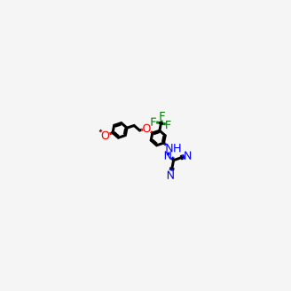 COc1ccc(CCOc2ccc(NN=C(C#N)C#N)cc2C(F)(F)F)cc1